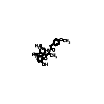 COc1ccc(CC(=O)NC(C)C2Oc3c(O)ccc(CI)c3C23CCN(C)CC3C)cc1